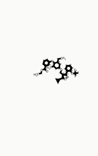 CCOC(=O)c1cccc(SC2C(C)CC(OCc3c(-c4ccccc4OC(F)(F)F)noc3C3CC3)CC2CC)c1